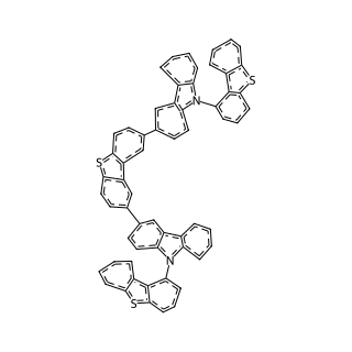 c1ccc2c(c1)sc1cccc(-n3c4ccccc4c4cc(-c5ccc6sc7ccc(-c8ccc9c(c8)c8ccccc8n9-c8cccc9sc%10ccccc%10c89)cc7c6c5)ccc43)c12